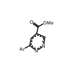 COC(=O)c1cnnc(C(C)=O)c1